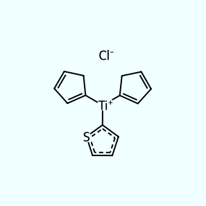 C1=CC[C]([Ti+]([C]2=CC=CC2)[c]2cccs2)=C1.[Cl-]